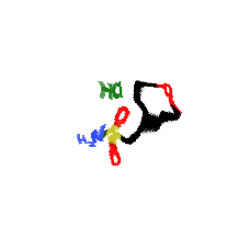 Cl.NS(=O)(=O)CC1CCOCC1